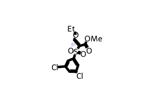 CCO/C=C(\C(=O)OC)S(=O)(=O)c1cc(Cl)cc(Cl)c1